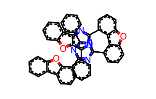 c1ccc(-c2nc(-c3cccc4c3oc3ccccc34)nc(-c3cccc4oc5cccc(-c6nc(-c7ccccc7)c7oc8ccccc8c7n6)c5c34)n2)cc1